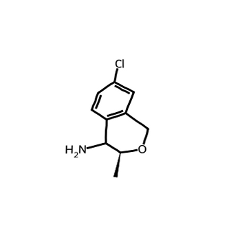 C[C@@H]1OCc2cc(Cl)ccc2C1N